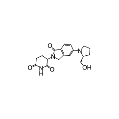 O=C1CCC(N2Cc3cc(N4CCC[C@H]4CO)ccc3C2=O)C(=O)N1